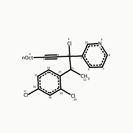 CCCCCCCCC#CC(Cl)(c1cccnc1)C(C)c1ccc(Cl)cc1Cl